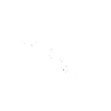 Cn1nc(C(C)(C)C)cc1C(=O)N1CC2CC(CN(CC(O)COc3ccc(C#N)cc3)C2)C1